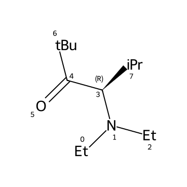 CCN(CC)[C@@H](C(=O)C(C)(C)C)C(C)C